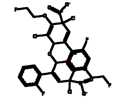 O=[N+]([O-])C1(Cl)C=C(c2ccccc2F)C(OC2C(c3ccccc3F)=CC(Cl)([N+](=O)[O-])C(OCCF)=C2Cl)C(Cl)=C1OCCF